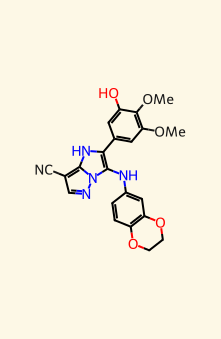 COc1cc(-c2[nH]c3c(C#N)cnn3c2Nc2ccc3c(c2)OCCO3)cc(O)c1OC